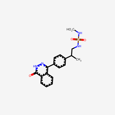 CC(CNS(=O)(=O)NC(=O)O)c1ccc(-c2n[nH]c(=O)c3ccccc23)cc1